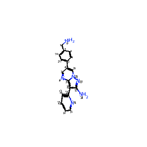 NCc1ccc(-c2cnc3c(-c4ccccn4)c(N)nn3c2)cc1